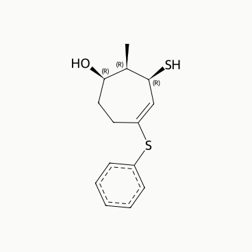 C[C@@H]1[C@H](O)CCC(Sc2ccccc2)=C[C@@H]1S